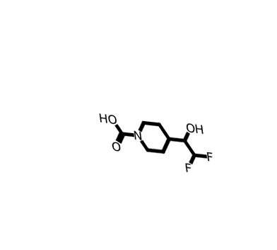 O=C(O)N1CCC(C(O)C(F)F)CC1